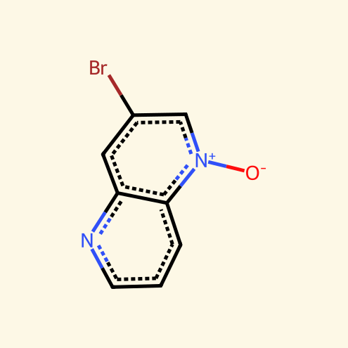 [O-][n+]1cc(Br)cc2ncccc21